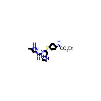 CCOC(=O)Nc1ccc(Sc2cc3nccn3c(Nc3cc(C)[nH]n3)n2)cc1